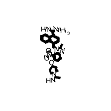 CC(=N)N1CCC(Oc2ccc3nc(C)n(Cc4ccc(C(=N)N)c5ccccc45)c3c2[N+](=O)[O-])CC1